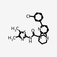 Cc1nc(NC(=O)N2c3nc(-c4cccc(Cl)c4)ccc3N3CCC2CC3)sc1C